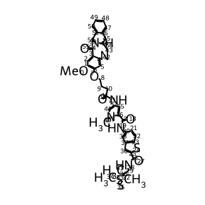 COc1cc2c(cc1OCCCC(=O)Nc1cc(C(=O)Nc3ccc4sc(C(=O)NCC(C)(C)S(C)=S)cc4c3)n(C)c1)N=C[C@@H]1Cc3ccccc3CN1C2=O